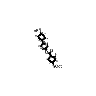 CCCCCCCCc1ccc(C(=O)Oc2cnc(-c3ccc(CCCC)cc3)cn2)c(F)c1